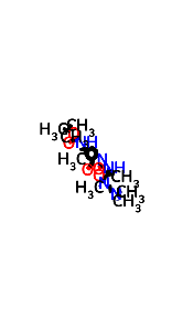 Cc1c(CNC(=O)OC(C)(C)C)ccc2nc(N[C@@H](C)C(=O)N(C)CCN(C)C)oc(=O)c12